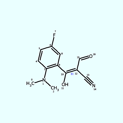 CN(C)c1ccc(F)cc1/C(O)=C(/C#N)C=O